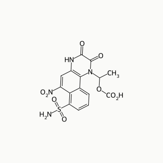 CC(OC(=O)O)n1c(=O)c(=O)[nH]c2cc([N+](=O)[O-])c3c(S(N)(=O)=O)cccc3c21